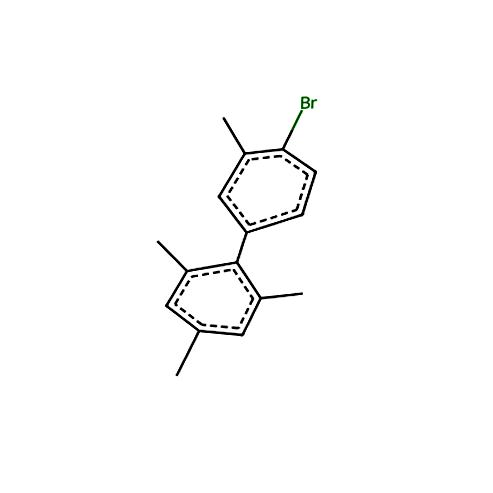 Cc1cc(C)c(-c2ccc(Br)c(C)c2)c(C)c1